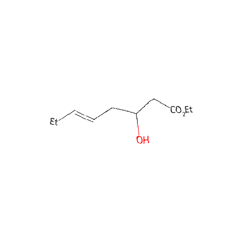 CC/C=C/CC(O)CC(=O)OCC